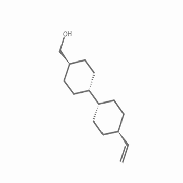 C=C[C@H]1CC[C@H]([C@H]2CC[C@H](CO)CC2)CC1